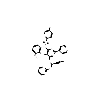 CC#CC(Oc1ncccn1)Oc1nc(-c2ccncc2)nc(NS(=O)(=O)c2ccc(C(C)C)cn2)c1Oc1ccccc1OC